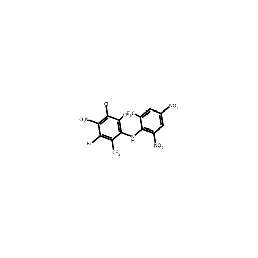 O=[N+]([O-])c1cc([N+](=O)[O-])c(Nc2c(C(F)(F)F)c(Cl)c([N+](=O)[O-])c(Br)c2C(F)(F)F)c(C(F)(F)F)c1